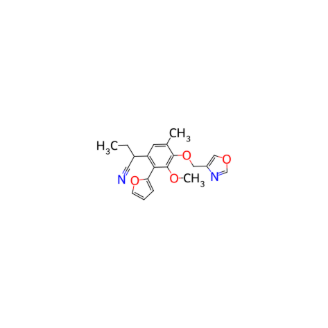 CCC(C#N)c1cc(C)c(OCc2cocn2)c(OC)c1-c1ccco1